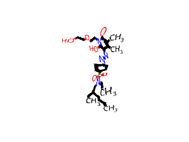 CCCCC(CC)CN(CC)S(=O)(=O)c1ccc(/N=N/c2c(C)c(C)c(=O)n(CCOCCO)c2O)cc1